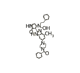 Cc1cc(N2CCN(C(=O)c3ccccc3)CC2)cc2[nH]c(-c3c(N(CO)CCc4ccccc4)cc[nH]c3=O)nc12